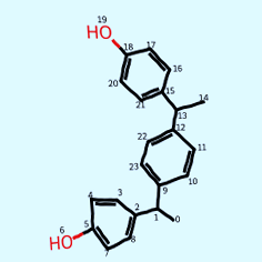 CC(c1ccc(O)cc1)c1ccc(C(C)c2ccc(O)cc2)cc1